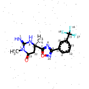 CN1C(=N)N[C@@](C)(c2nc(-c3cccc(C(F)(F)F)c3)no2)CC1=O